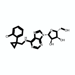 OC[C@H]1O[C@@H](n2cnc3c(NCC4(c5ccccc5Cl)CC4)ncnc32)[C@H](O)[C@@H]1O